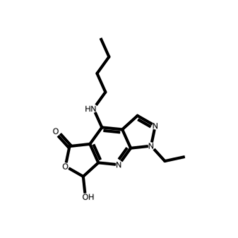 CCCCNc1c2c(nc3c1cnn3CC)C(O)OC2=O